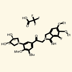 CCOc1cc2c(c(F)c1OCC)C(=N)N(CC(=O)c1cc(N3C[C@@H](O)[C@@H](O)C3)c(OC)c(C(C)(C)C)c1)C2.O=C(O)C(F)(F)F